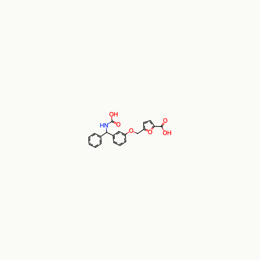 O=C(O)NC(c1ccccc1)c1cccc(OCc2ccc(C(=O)O)o2)c1